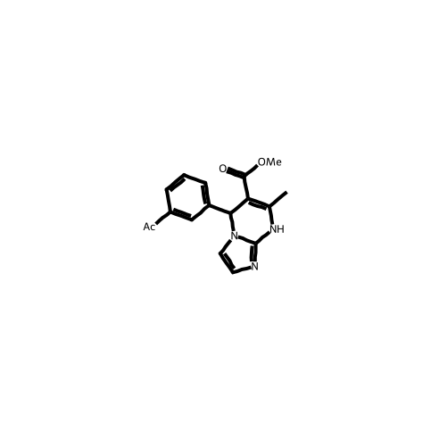 COC(=O)C1=C(C)Nc2nccn2C1c1cccc(C(C)=O)c1